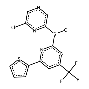 [O-][S+](c1cncc(Cl)n1)c1nc(-c2cccs2)cc(C(F)(F)F)n1